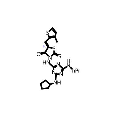 CCCNc1nc(NC2CCCC2)nc(NN2C(=O)/C(=C/c3sccc3C)SC2=S)n1